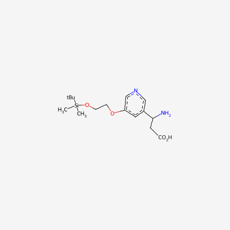 CC(C)(C)[Si](C)(C)OCCOc1cncc(C(N)CC(=O)O)c1